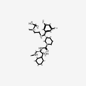 CNC[C@@H](NC(=O)N1CCC[C@@H](C(OCCN(C)C(=O)O)c2cc(F)cc(F)c2)C1)[C@H](O)C1CCCCC1